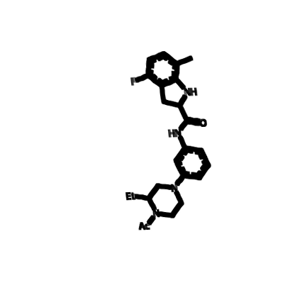 CCC1CN(c2cccc(NC(=O)C3Cc4c(F)ccc(C)c4N3)c2)CCN1C(C)=O